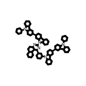 c1ccc(-n2c3ccccc3c3cc(-c4ccc5c(c4)c4ccccc4n5-c4cccc(-c5nc(-n6c7ccccc7c7ccc(-c8ccc9c(c8)c8ccccc8n9-c8ccccc8)cc76)nc6ccc7ccccc7c56)c4)ccc32)cc1